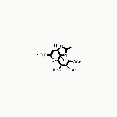 CC(=O)OC[C@@H](OC(C)=O)[C@@H](OC(C)=O)[C@@H]1OC(C(=O)O)=C[C@H]2OC(C)=N[C@@]21C